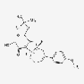 COc1ccc(C2=CCO[C@@H]3[C@@H](C2)CN(C(=O)OC(C)(C)C)[C@@H]3C(=O)CO)cc1